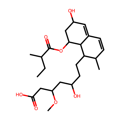 CCC(C)C(=O)OC1CC(O)C=C2C=CC(C)C(CCC(O)CC(CC(=O)O)OC)C21